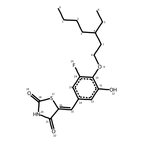 CCCCC(CC)CCOc1c(O)cc(/C=C2\SC(=O)NC2=O)cc1F